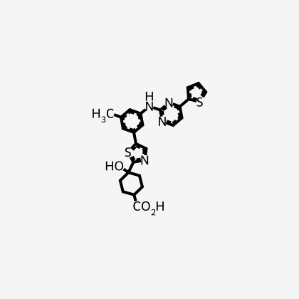 Cc1cc(Nc2nccc(-c3cccs3)n2)cc(-c2cnc(C3(O)CCC(C(=O)O)CC3)s2)c1